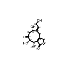 CCC[C@H]1C2=C(COC2=O)C/C(=C/CO)[C@@H](O)CC(=O)[C@H]1O